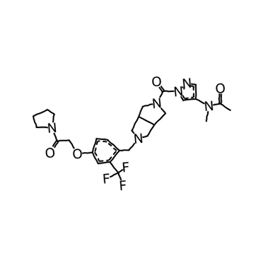 CC(=O)N(C)c1cnn(C(=O)N2CC3CN(Cc4ccc(OCC(=O)N5CCCC5)cc4C(F)(F)F)CC3C2)c1